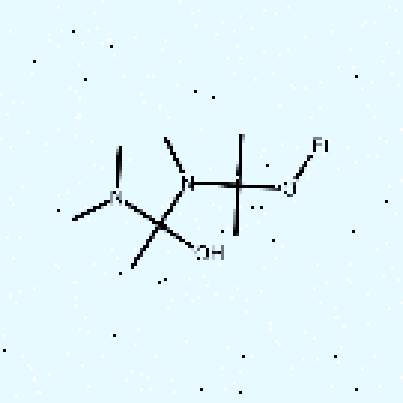 CCOC(C)(C)N(C)C(C)(O)N(C)C